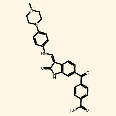 CN1CCN(c2ccc(NC=C3C(=O)Nc4cc(C(=O)c5ccc(C(N)=O)cc5)ccc43)cc2)CC1